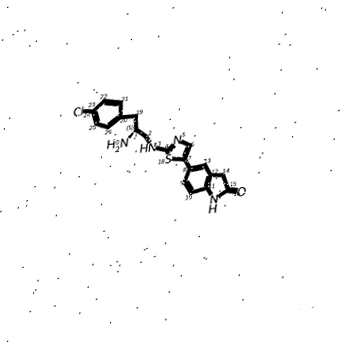 N[C@H](CNc1ncc(-c2ccc3c(c2)CC(=O)N3)s1)Cc1ccc(Cl)cc1